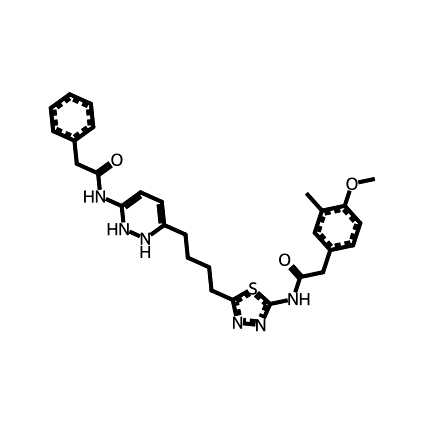 COc1ccc(CC(=O)Nc2nnc(CCCCC3=CC=C(NC(=O)Cc4ccccc4)NN3)s2)cc1C